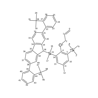 C=CCOc1c([Si](C)(C)C)cc(C)cc1[Si](C)(C)C1c2cc(-c3ccccc3C(C)(C)C)ccc2-c2ccc(-c3ccccc3C(C)(C)C)cc21